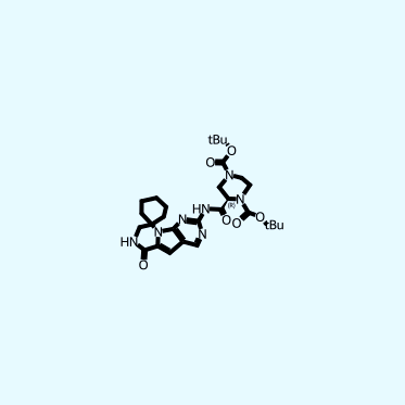 CC(C)(C)OC(=O)N1CCN(C(=O)OC(C)(C)C)[C@@H](C(=O)Nc2ncc3cc4n(c3n2)C2(CCCCC2)CNC4=O)C1